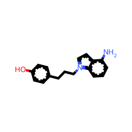 Nc1cccc2c1ccn2CCCc1ccc(O)cc1